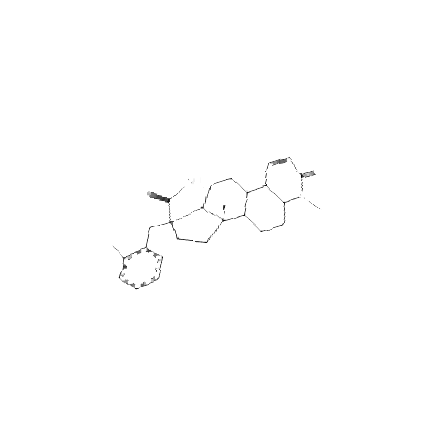 CN1C(=O)C=C[C@@]2(C)C1CC[C@@H]1[C@H]2CC[C@@]2(C)[C@H]1CCC2(Cc1ccccc1F)C(N)=O